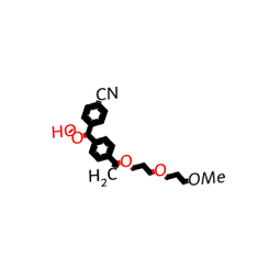 C=C(OCCCOCCCOC)c1ccc(C(OO)c2ccc(C#N)cc2)cc1